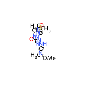 C=CCn1c(=O)c2cnc(Nc3ccc(N(C)CCOC)cc3)nc2n1-c1cccc(N=S(C)(C)=O)n1